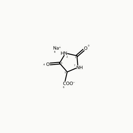 O=C1NC(=O)C(C(=O)[O-])N1.[Na+]